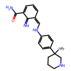 CCCC1(c2ccc(N/C=C3/C=CC=C(C(N)=O)C3=N)cc2)CCCNC1